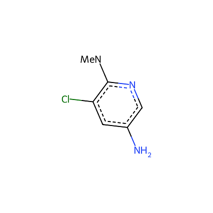 CNc1ncc(N)cc1Cl